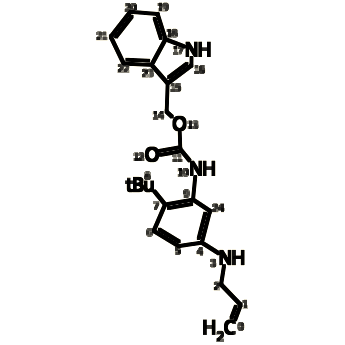 C=CCNc1ccc(C(C)(C)C)c(NC(=O)OCc2c[nH]c3ccccc23)c1